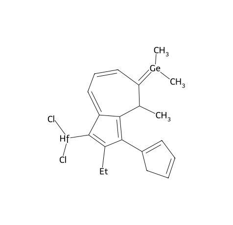 CCC1=[C]([Hf]([Cl])[Cl])C2=CC=C[C](=[Ge]([CH3])[CH3])C(C)C2=C1C1=CC=CC1